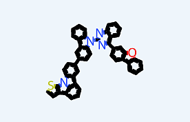 c1ccc2c(-c3ccc4c(c3)oc3ccccc34)nc(-n3c4ccccc4c4cc(-c5ccc6c(c5)c5cccc7c8ccsc8n6c57)ccc43)nc2c1